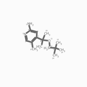 Cc1cnc(N)cc1C(C)(C)O[SiH2]C(C)(C)C